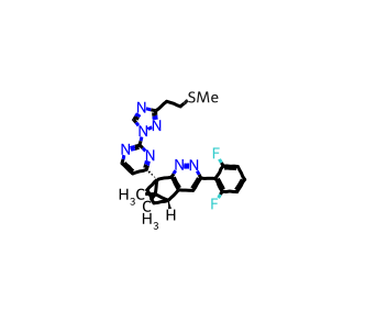 CSCCc1ncn(-c2nccc([C@]34CC[C@@H](c5cc(-c6c(F)cccc6F)nnc53)C4(C)C)n2)n1